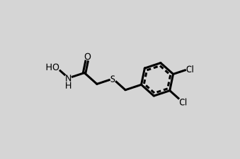 O=C(CSCc1ccc(Cl)c(Cl)c1)NO